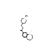 CC(=O)N1CCC(CCC(=O)c2ccc3c(c2)NCCCC3)CC1